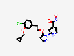 O=NC(=O)c1ccnc(-n2nccc2OCCc2ccc(Cl)c(OCC3CC3)c2)c1